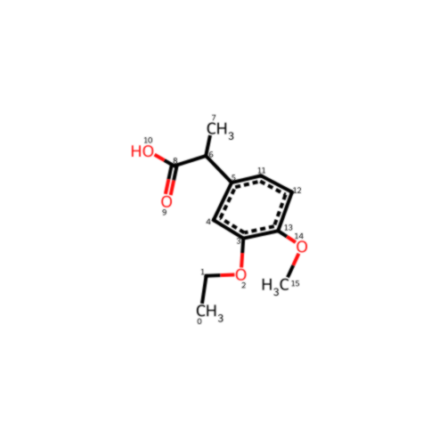 CCOc1cc(C(C)C(=O)O)ccc1OC